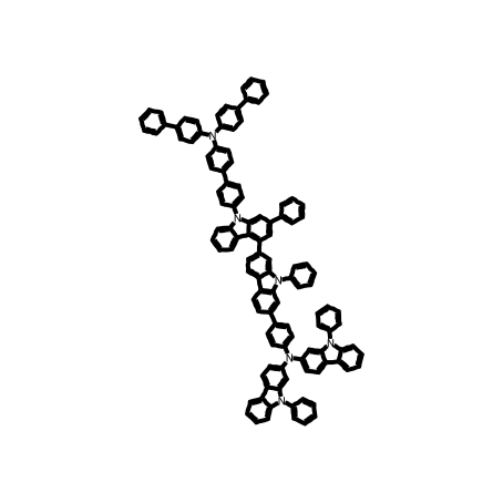 c1ccc(-c2ccc(N(c3ccc(-c4ccccc4)cc3)c3ccc(-c4ccc(-n5c6ccccc6c6c(-c7ccc8c9ccc(-c%10ccc(N(c%11ccc%12c%13ccccc%13n(-c%13ccccc%13)c%12c%11)c%11ccc%12c%13ccccc%13n(-c%13ccccc%13)c%12c%11)cc%10)cc9n(-c9ccccc9)c8c7)cc(-c7ccccc7)cc65)cc4)cc3)cc2)cc1